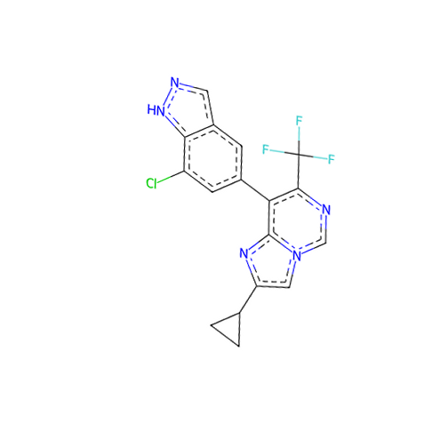 FC(F)(F)c1ncn2cc(C3CC3)nc2c1-c1cc(Cl)c2[nH]ncc2c1